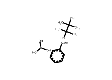 CC(C)(O)C(C)(C)O.COc1ccccc1.OB(O)O